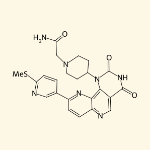 CSc1ccc(-c2ccc3ncc4c(=O)[nH]c(=O)n(C5CCN(CC(N)=O)CC5)c4c3n2)cn1